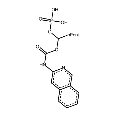 CCCCCC(OC(=O)Nc1cc2ccccc2cn1)OP(=O)(O)O